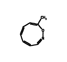 Cc1ccccccno1